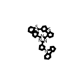 c1ccc(-c2nc(-c3cccc(-n4c5ccccc5c5ccccc54)c3)nc(-c3cccc4sc5ccc(-c6nc7ccccc7s6)cc5c34)n2)cc1